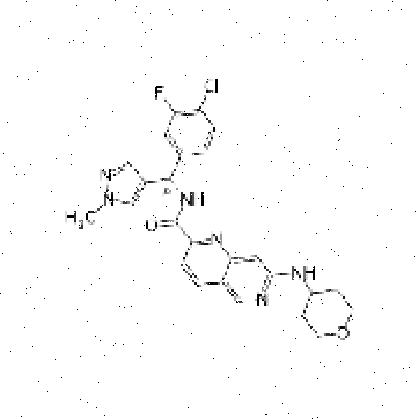 Cn1cc([C@@H](NC(=O)c2ccc3cnc(NC4CCOCC4)cc3n2)c2ccc(Cl)c(F)c2)cn1